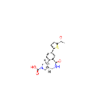 CC(=O)c1ccc(-c2ccc3c(c2)C(=O)NC[C@H]2CN(C(=O)O)C[C@H]32)s1